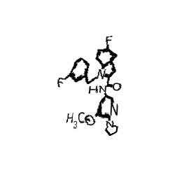 COc1cc(NC(=O)c2cc3cc(F)ccc3n2Cc2cccc(F)c2)cnc1N1CCCC1